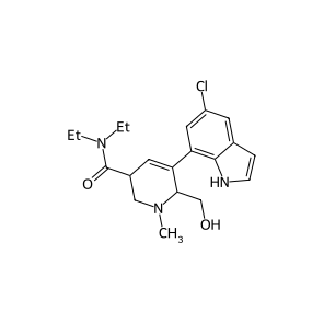 CCN(CC)C(=O)C1C=C(c2cc(Cl)cc3cc[nH]c23)C(CO)N(C)C1